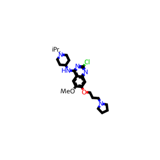 COc1cc2c(NC3CCN(C(C)C)CC3)nc(Cl)nc2cc1OCCCN1CCCC1